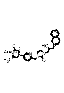 CC(=O)N1[C@H](C)CN(c2ccc(CN3CCN(CC(O)CN4CCc5ccccc5C4)C3=O)nc2)C[C@@H]1C